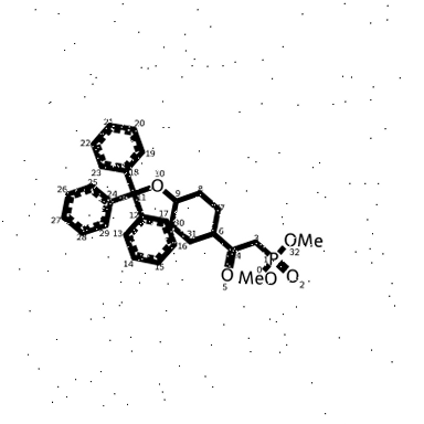 COP(=O)(CC(=O)C1CCC(OC(c2ccccc2)(c2ccccc2)c2ccccc2)CC1)OC